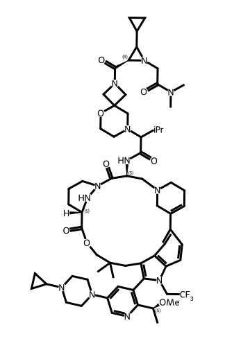 CO[C@@H](C)c1ncc(N2CCN(C3CC3)CC2)cc1-c1c2c3cc(ccc3n1CC(F)(F)F)C1=CCCN(C1)C[C@H](NC(=O)C(C(C)C)N1CCOC3(CN(C(=O)[C@H]4C(C5CC5)N4CC(=O)N(C)C)C3)C1)C(=O)N1CCC[C@H](N1)C(=O)OCC(C)(C)C2